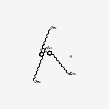 CCCCCCCCCCCCCCCCCCC=CC(=Nc1ccc(CCCCCCCCCCCCCCCCCCCCCC)cc1)C(CCCC)=Nc1ccc(CCCCCCCCCCCCCCCCCCCCCC)cc1.[Ni]